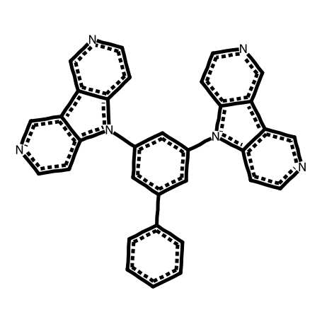 c1ccc(-c2cc(-n3c4ccncc4c4cnccc43)cc(-n3c4ccncc4c4cnccc43)c2)cc1